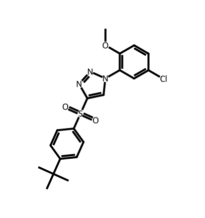 COc1ccc(Cl)cc1-n1cc(S(=O)(=O)c2ccc(C(C)(C)C)cc2)nn1